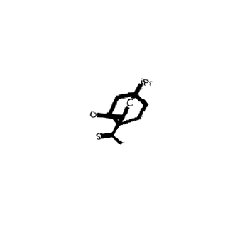 CC(=S)C12CCC(C(C)C)(CC1)CC2=O